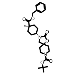 CC(C)(C)OC(=O)N1CCC2(CC1)CN([C@H]1CC[C@@](C)(C(=O)OCc3ccccc3)CC1)C(=O)O2